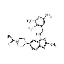 Cc1nc(NCc2cc(N)cc(C(F)(F)F)c2C)c2cc(P3CCN(C(=O)C(C)C)CC3)ncc2n1